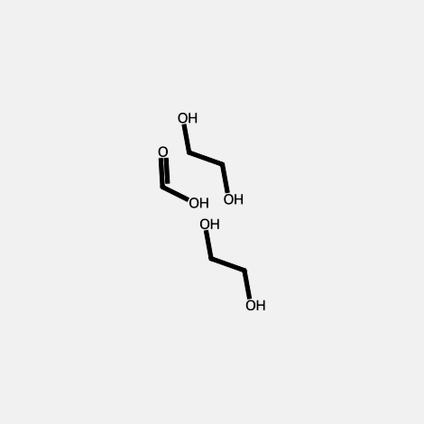 O=CO.OCCO.OCCO